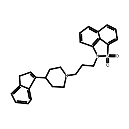 O=S1(=O)c2cccc3cccc(c23)N1CCCN1CCC(C2=CCc3ccccc32)CC1